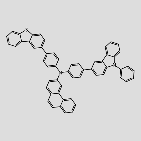 c1ccc(-n2c3ccccc3c3cc(-c4ccc(N(c5ccc(-c6ccc7sc8ccccc8c7c6)cc5)c5ccc6ccc7ccccc7c6c5)cc4)ccc32)cc1